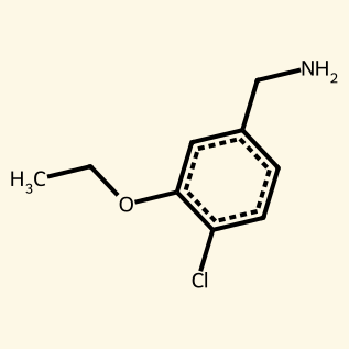 CCOc1cc(CN)ccc1Cl